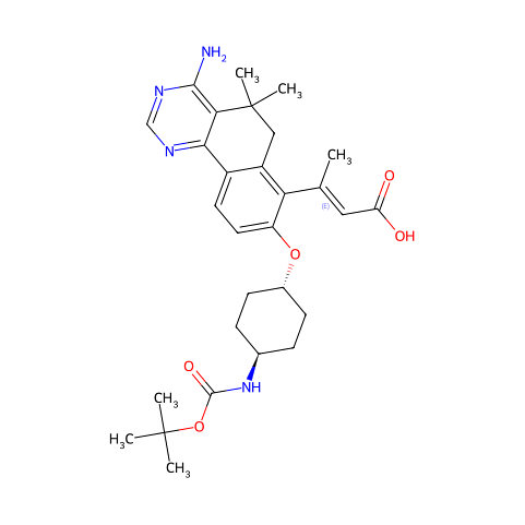 C/C(=C\C(=O)O)c1c(O[C@H]2CC[C@H](NC(=O)OC(C)(C)C)CC2)ccc2c1CC(C)(C)c1c(N)ncnc1-2